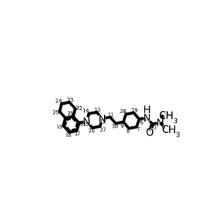 CN(C)C(=O)NC1CCC(CCN2CCN(c3cccc4c3CCCC4)CC2)CC1